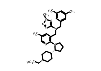 Cn1nnc(N(Cc2cc(C(F)(F)F)cc(C(F)(F)F)c2)Cc2cc(C(F)(F)F)cnc2N2CCCC2[C@H]2CC[C@H](CC(=O)O)CC2)n1